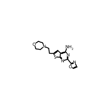 Nc1nc(-c2ncco2)nc2sc(CCN3CCOCC3)cc12